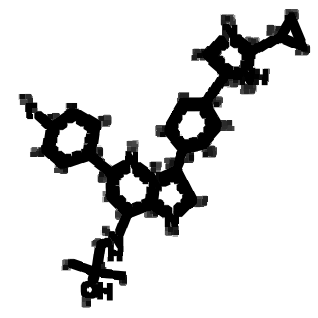 CC(C)(O)CNc1cc(-c2ccc(F)cc2)nn2c(-c3ccc(-c4cnc(C5CC5)[nH]4)cc3)cnc12